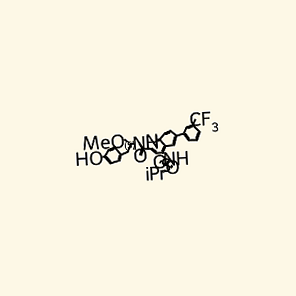 COC[C@H](Cc1ccc(O)cc1)NC(=O)c1cc(NS(=O)(=O)C(C)C)c2cc(-c3cccc(C(F)(F)F)c3)ccc2n1